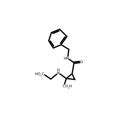 O=C(O)CNC1(C(=O)O)CC1C(=O)NCc1ccccc1